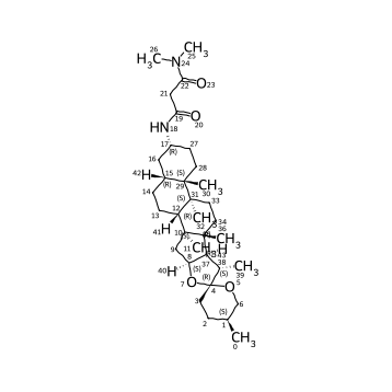 C[C@H]1CC[C@@]2(OC1)O[C@H]1C[C@@]3(C)[C@@H]4CC[C@@H]5C[C@H](NC(=O)CC(=O)N(C)C)CC[C@]5(C)[C@@]4(C)CC[C@]3(C)[C@H]1[C@@H]2C